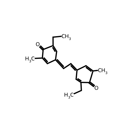 CCC1=C/C(=C\C=C2\C=C(C)C(=O)C(CC)=C2)C=C(C)C1=O